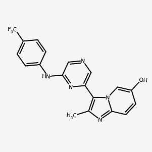 Cc1nc2ccc(O)cn2c1-c1cncc(Nc2ccc(C(F)(F)F)cc2)n1